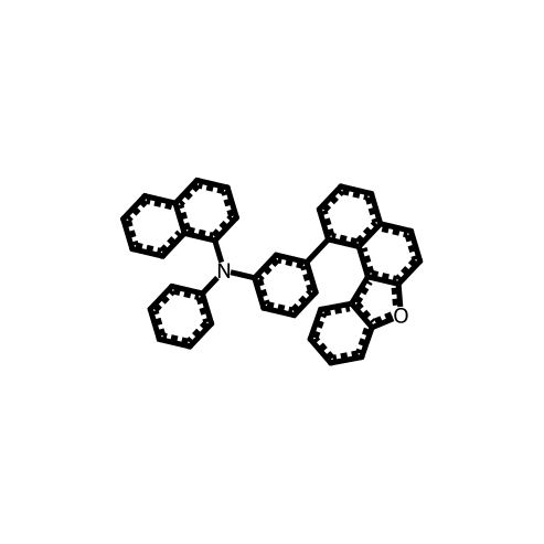 c1ccc(N(c2cccc(-c3cccc4ccc5oc6ccccc6c5c34)c2)c2cccc3ccccc23)cc1